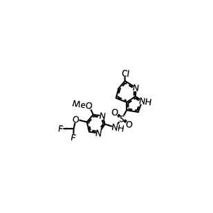 COc1nc(NS(=O)(=O)c2c[nH]c3nc(Cl)ccc23)ncc1OC(F)F